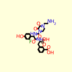 NCCN1CCN(C(=O)NC(C(=O)N[C@H]2Cc3cccc(C(=O)O)c3OB2O)c2ccc(O)cc2F)C(=O)C1=O